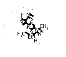 CCC1(C)c2nnc(C)n2-c2cnc(-c3cn[nH]c3-c3nccs3)nc2N1CCC(F)(F)F